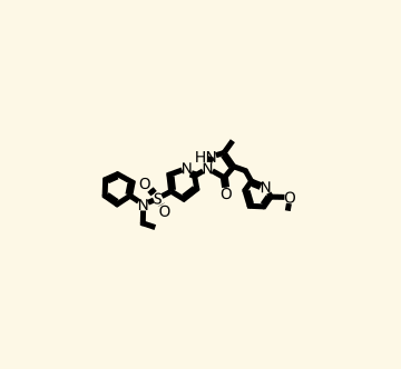 CCN(c1ccccc1)S(=O)(=O)c1ccc(-n2[nH]c(C)c(Cc3cccc(OC)n3)c2=O)nc1